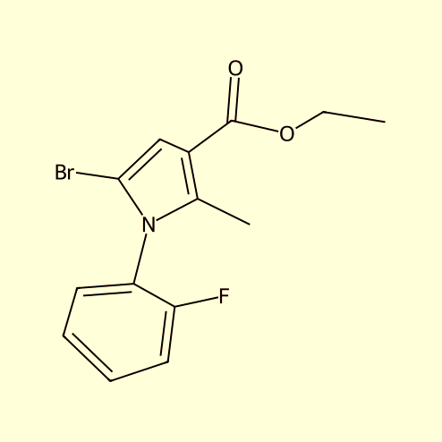 CCOC(=O)c1cc(Br)n(-c2ccccc2F)c1C